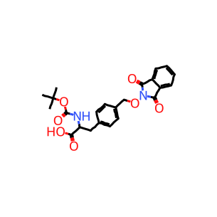 CC(C)(C)OC(=O)NC(Cc1ccc(CON2C(=O)c3ccccc3C2=O)cc1)C(=O)O